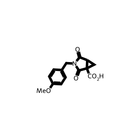 COc1ccc(CN2C(=O)C3CC3(C(=O)O)C2=O)cc1